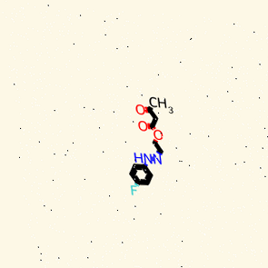 CC(=O)CC(=O)OC/C=N\Nc1ccc(F)cc1